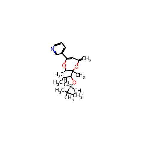 C=C1C=C(c2cccnc2)OC(C)[C@@](C)(C(CC)O[Si](C)(C)C(C)(C)C)O1